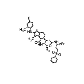 CCCC(C=CS(=O)(=O)c1ccccc1)NC(=O)Cc1c(C)[nH]c(=O)c2c1ccc1nc(Nc3ccc(F)cc3C)n(C)c12